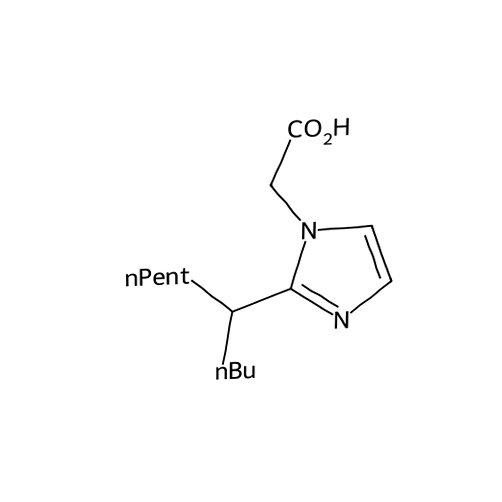 CCCCCC(CCCC)c1nccn1CC(=O)O